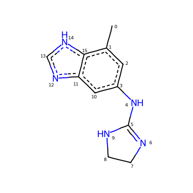 Cc1cc(NC2=NCCN2)cc2nc[nH]c12